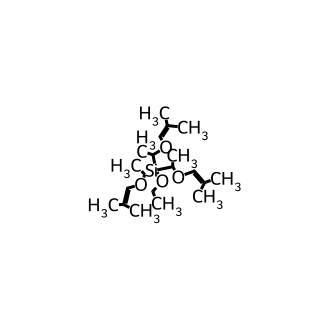 CCO[Si](C(C)OC=C(C)C)(C(C)OC=C(C)C)C(C)OC=C(C)C